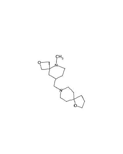 CN1CCC(CN2CCC3(CCCO3)CC2)CC12COC2